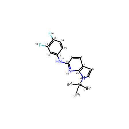 CC(C)[Si](C(C)C)(C(C)C)n1ccc2ccc(Nc3ccc(F)c(F)c3)nc21